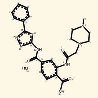 CN1CCN(CC(=O)Nc2cc(C(=O)Nc3nnc(-c4ccccc4)s3)ccc2C(=O)O)CC1.Cl